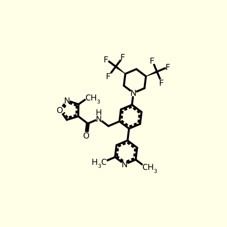 Cc1cc(-c2ccc(N3C[C@H](C(F)(F)F)C[C@H](C(F)(F)F)C3)cc2CNC(=O)c2conc2C)cc(C)n1